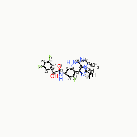 [2H]C([2H])([2H])c1nc(-c2ccc(NC(=O)[C@@H](O)c3cc(F)cc(F)c3)cc2F)c2c(N)ncc(C(F)(F)F)n12